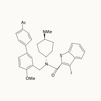 CN[C@H]1CC[C@H](N(Cc2cc(-c3ccc(C(C)=O)cc3)ccc2OC)C(=O)c2sc3ccccc3c2I)CC1